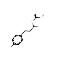 CC(C)(C)OC(=O)NC(CCc1ccc(O)cc1)C(=O)O